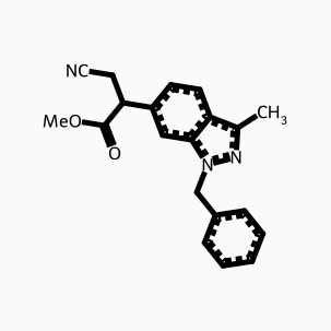 COC(=O)C(CC#N)c1ccc2c(C)nn(Cc3ccccc3)c2c1